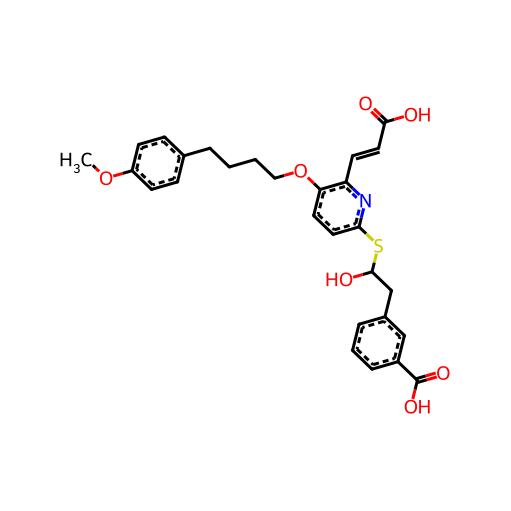 COc1ccc(CCCCOc2ccc(SC(O)Cc3cccc(C(=O)O)c3)nc2C=CC(=O)O)cc1